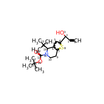 C#CC(O)c1cc2c(s1)CCN(C(=O)OC(C)(C)C)C2C(C)(C)C